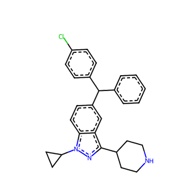 Clc1ccc(C(c2ccccc2)c2ccc3c(c2)c(C2CCNCC2)nn3C2CC2)cc1